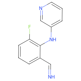 N=Cc1cccc(F)c1Nc1cccnc1